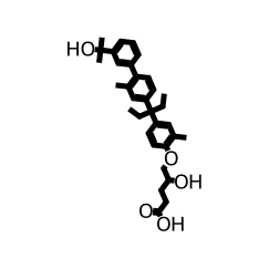 CCC(CC)(c1ccc(OCC(O)CCC(=O)O)c(C)c1)c1ccc(-c2cccc(C(C)(C)O)c2)c(C)c1